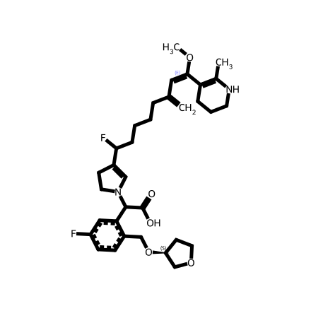 C=C(/C=C(/OC)C1=C(C)NCCC1)CCCCC(F)C1=CN(C(C(=O)O)c2cc(F)ccc2CO[C@H]2CCOC2)CC1